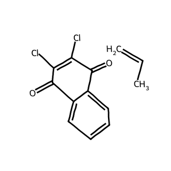 C=CC.O=C1C(Cl)=C(Cl)C(=O)c2ccccc21